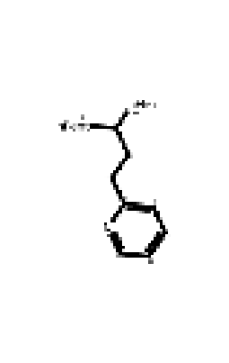 CCCCCCC(CCCCC)CCc1ccccn1